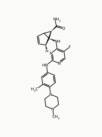 Cc1cc(Nc2ncc(F)c(N[C@]34C5C=C[C@@H]3[C@]54C(N)=O)n2)ccc1N1CCN(C)CC1